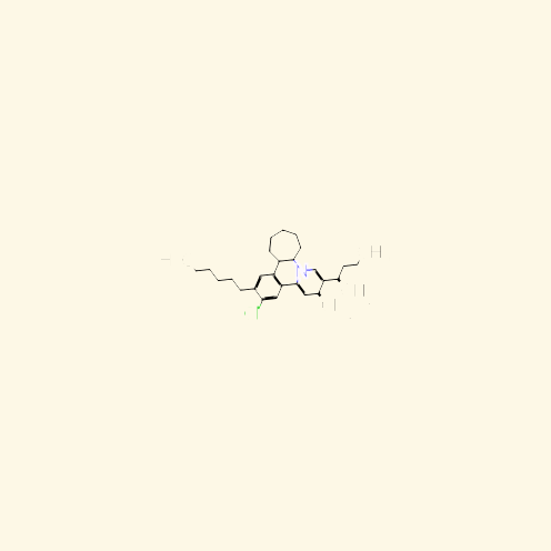 C=C1C=C2c3cc(Cl)c(CCCCCC)cc3C3CCCCCC3N2C=C1C(=C)CCC